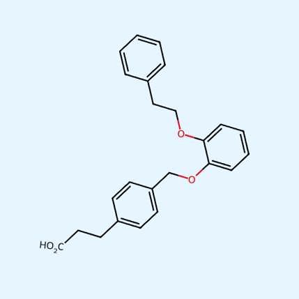 O=C(O)CCc1ccc(COc2ccccc2OCCc2ccccc2)cc1